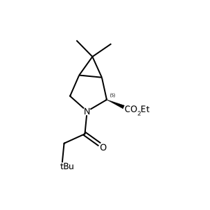 CCOC(=O)[C@@H]1C2C(CN1C(=O)CC(C)(C)C)C2(C)C